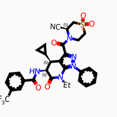 CCN1C(=O)[C@@H](NC(=O)c2cccc(C(F)(F)F)c2)[C@@H](C2CC2)c2c(C(=O)N3CCS(=O)(=O)C[C@@H]3C#N)nn(-c3ccccc3)c21